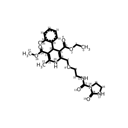 CCOC(=O)C1=C(COCCNC(=O)N2CCNC2=O)NC(C)=C(C(=O)OC)C1c1ccccc1Cl